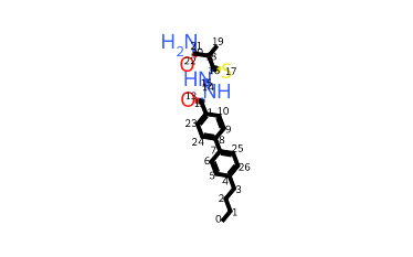 CCCCc1ccc(-c2ccc(C(=O)NNC(=S)C(C)C(N)=O)cc2)cc1